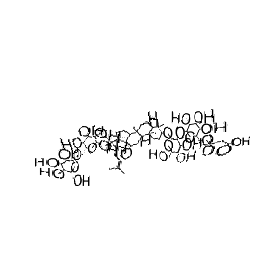 CC(C)=CCC[C@](C)(O[C@@H]1O[C@H](CO[C@@H]2O[C@H](CO)[C@@H](O)[C@H](O)[C@H]2O)[C@@H](O)[C@H](O)[C@H]1O)[C@H]1CC[C@]2(C)[C@@H]1[C@H](O)C[C@@H]1[C@@]3(C)CC[C@H](O[C@@H]4O[C@H](CO)[C@@H](O)[C@H](O)[C@H]4O[C@@H]4O[C@H](COC(=O)CC(=O)O)[C@@H](O)[C@H](O)[C@H]4O)C(C)(C)[C@@H]3CC[C@]12C